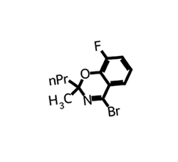 CCCC1(C)N=C(Br)c2cccc(F)c2O1